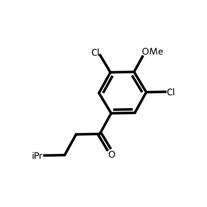 COc1c(Cl)cc(C(=O)CCC(C)C)cc1Cl